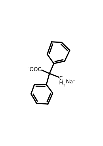 CC(C(=O)[O-])(c1ccccc1)c1ccccc1.[Na+]